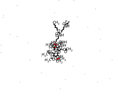 CCCCCCOC(=O)[C@H](CCCCNC(=O)C(F)(F)F)NC(=O)CCCNC(=O)[C@H](C)NC(=O)[C@@H](C)O[C@@H]1[C@@H](NC(C)=O)[C@@H](OP(=O)(O)O)O[C@H](COC(C)=O)[C@H]1O[C@@H]1O[C@H](COC(C)=O)[C@@H](OC(C)=O)[C@H](OC(C)=O)[C@H]1NC(C)=O